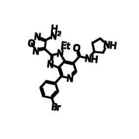 CCn1c(-c2nonc2N)nc2c(-c3cccc(Br)c3)ncc(C(=O)NC3CCNC3)c21